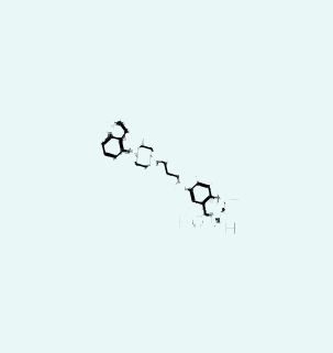 CN1CNc2ccc(OCCCN3CCN(c4cccc5sccc45)CC3)cc2C1O